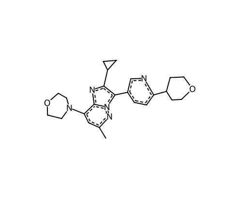 Cc1cc(N2CCOCC2)c2nc(C3CC3)c(-c3ccc(C4CCOCC4)nc3)n2n1